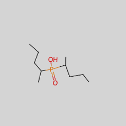 CCCC(C)P(=O)(O)C(C)CCC